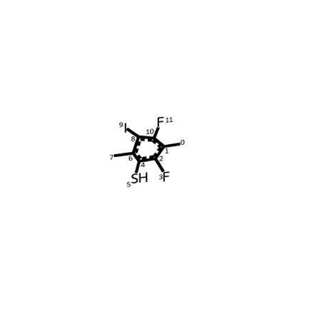 Cc1c(F)c(S)c(C)c(I)c1F